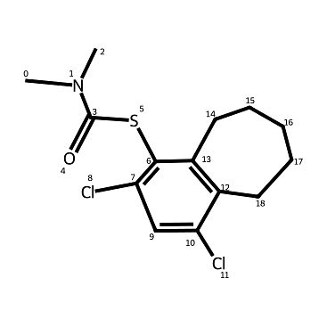 CN(C)C(=O)Sc1c(Cl)cc(Cl)c2c1CCCCC2